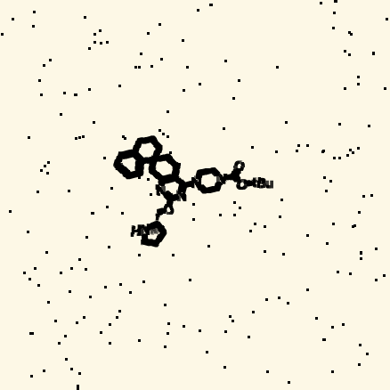 CC(C)(C)OC(=O)N1CCN(c2nc(OC[C@@H]3CCCN3)nc3c2CCC2(CCCc4ccccc42)C3)CC1